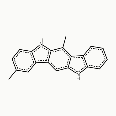 Cc1ccc2[nH]c3c(C)c4c(cc3c2c1)[nH]c1ccccc14